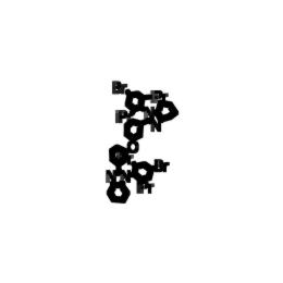 CC(C)c1cc(Br)cc(C(C)C)c1-n1c(-c2cccc(Oc3cccc(-c4nc5ccccc5n4-c4c(C(C)C)cc(Br)cc4C(C)C)c3)c2)nc2ccccc21